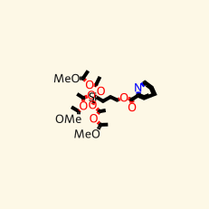 COC(C)OC(C)O[Si](CCCOC(=O)c1ccccn1)(OC(C)OC(C)OC)OC(C)OC(C)OC